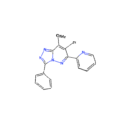 CCc1c(-c2ccccn2)nn2c(-c3ccccc3)nnc2c1OC